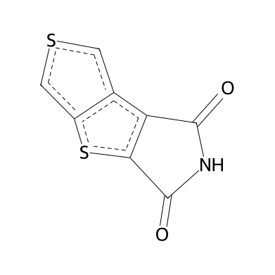 O=C1NC(=O)c2c1sc1cscc21